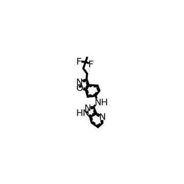 CC(F)(F)CCc1noc2cc(Nc3n[nH]c4cccnc34)ccc12